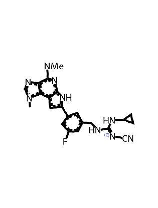 CNc1nc2[nH]c(-c3cc(F)cc(CN/C(=N/C#N)NC4CC4)c3)cc2c2c1ncn2C